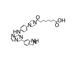 O=C(O)CCCCCCC(=O)N1CCN(c2ccc(NC3=NC(c4ccc5cn[nH]c5c4)Cn4ccnc43)cc2)CC1